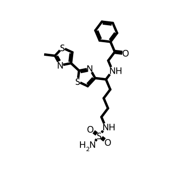 Cc1nc(-c2nc(C(CCCCNS(N)(=O)=O)NCC(=O)c3ccccc3)cs2)cs1